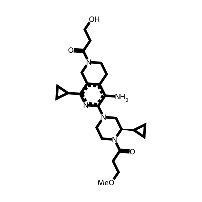 COCCC(=O)N1CCN(c2nc(C3CC3)c3c(c2N)CCN(C(=O)CCO)C3)C[C@H]1C1CC1